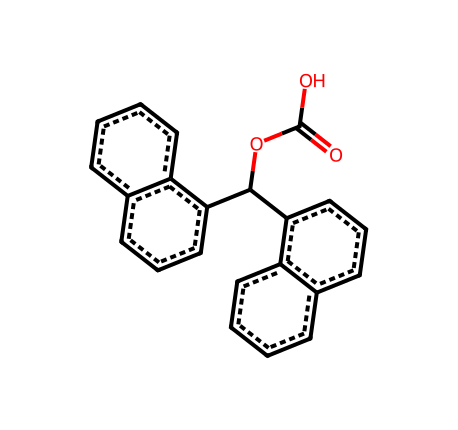 O=C(O)OC(c1cccc2ccccc12)c1cccc2ccccc12